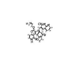 NCCOC(=O)c1c(-c2ccc[nH]c2=O)c2c3c(c(F)cc2n1Cc1cc2cccnc2nc1Cl)CCO3